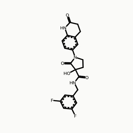 O=C1CCc2cc(N3CCC(O)(C(=O)NCc4cc(F)cc(F)c4)C3=O)ccc2N1